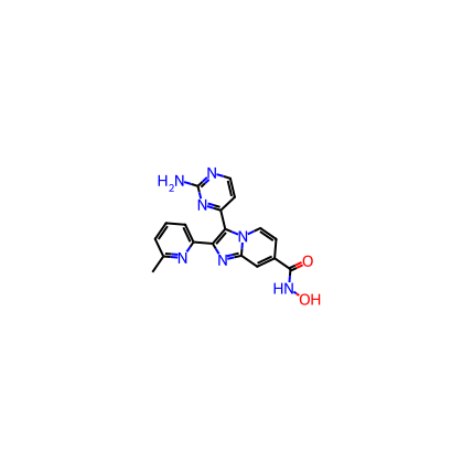 Cc1cccc(-c2nc3cc(C(=O)NO)ccn3c2-c2ccnc(N)n2)n1